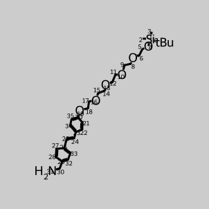 CC(C)(C)[Si](C)(C)OCCOCCOCCOCCOCCOc1ccc(/C=C/c2ccc(CN)cc2)cc1